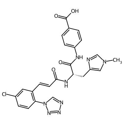 Cn1cnc(C[C@H](NC(=O)/C=C/c2cc(Cl)ccc2-n2cnnn2)C(=O)Nc2ccc(C(=O)O)cc2)c1